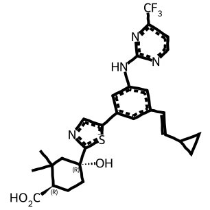 CC1(C)C[C@@](O)(c2ncc(-c3cc(C=CC4CC4)cc(Nc4nccc(C(F)(F)F)n4)c3)s2)CC[C@H]1C(=O)O